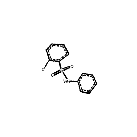 O=S(=O)(Nc1ccccc1)c1ccccc1Cl